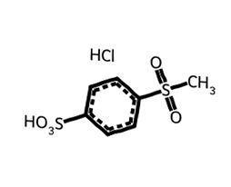 CS(=O)(=O)c1ccc(S(=O)(=O)O)cc1.Cl